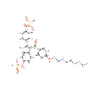 CCCCCCN=CCOc1ccc(C(=O)c2c(-c3ccc(OS(C)(=O)=O)cc3)sc3cc(OS(C)(=O)=O)ccc23)cc1